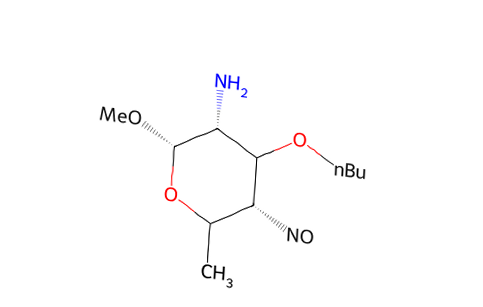 CCCCOC1[C@H](N=O)C(C)O[C@H](OC)[C@@H]1N